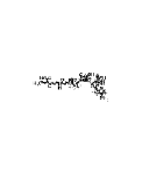 C=C(F)CC(C(=O)O)C(=O)SCCNC(=O)CCNC(=O)[C@H](O)C(C)(C)COP(=O)(O)OP(=O)(O)OC[C@H]1O[C@@H](n2cnc3c(N)ncnc32)[C@H](O)[C@@H]1OP(=O)(O)O